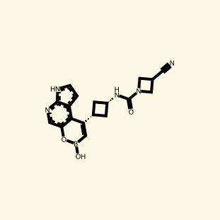 N#CC1CN(C(=O)N[C@H]2C[C@@H](C3=CB(O)Oc4cnc5[nH]ccc5c43)C2)C1